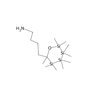 CC1(CCCCN)O[Si](C)(C)[Si](C)(C)[Si](C)(C)[Si]1(C)C